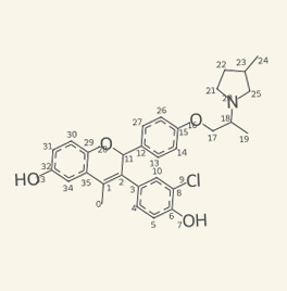 CC1=C(c2ccc(O)c(Cl)c2)C(c2ccc(OCC(C)N3CCC(C)C3)cc2)Oc2ccc(O)cc21